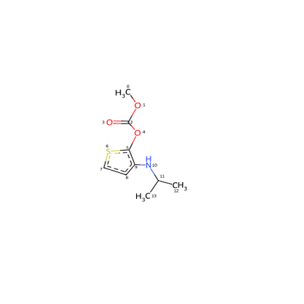 COC(=O)Oc1sccc1NC(C)C